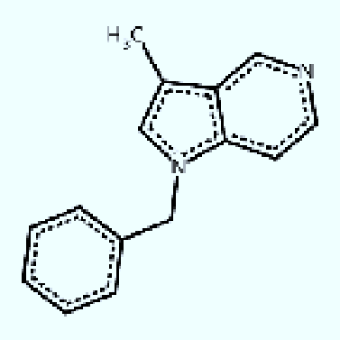 Cc1cn(Cc2ccccc2)c2ccncc12